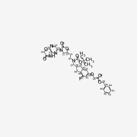 CC(C)(C)OC(=O)N(CCC1CN(c2cnc3c(n2)NC(=O)CO3)C(=O)O1)CC1Cc2cc(OCC(=O)OCc3ccccc3)cc(F)c2C1